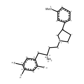 COc1cccc(C2CCN(CC[C@H](N)Cc3cc(F)c(F)cc3F)C2)c1